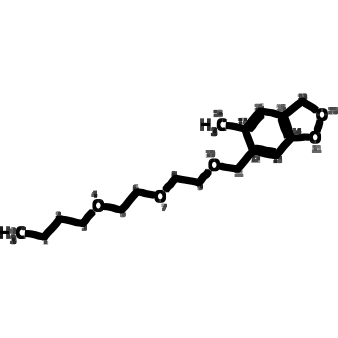 CCCCOCCOCCOCc1cc2c(cc1C)COO2